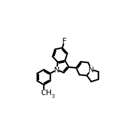 Cc1cccc(-n2cc(C3=CCN4CCCC4C3)c3cc(F)ccc32)c1